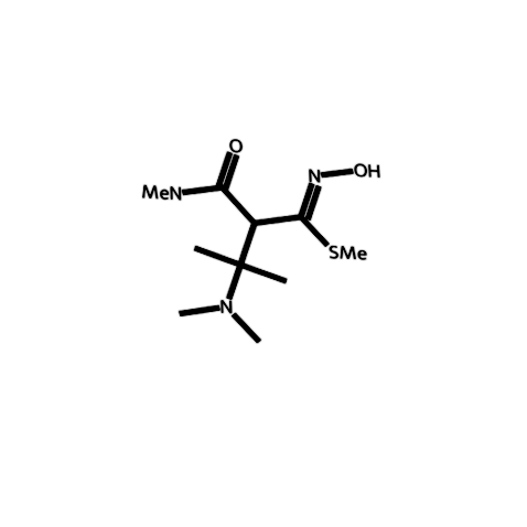 CNC(=O)C(C(=NO)SC)C(C)(C)N(C)C